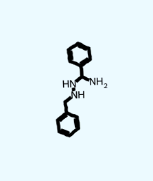 NC(NNCc1ccccc1)c1ccccc1